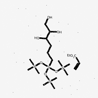 C=CC(=O)OCC.C[Si](C)(C)O[Si](CCCC(O)C(O)CO)(O[Si](C)(C)C)O[Si](C)(C)C